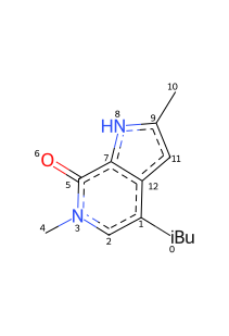 CCC(C)c1cn(C)c(=O)c2[nH]c(C)cc12